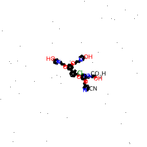 Cc1c(COc2cc(OCc3cncc(C#N)c3)c(CN[C@@](C)(CO)C(=O)O)cc2Cl)cccc1-c1cc(OCCCN2CC[C@@H](O)C2)cc(OCCCN2CC[C@@H](O)C2)c1